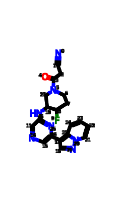 N#CCC(=O)N1CCC(F)C(Nc2cncc(-c3cnn4ccccc34)n2)C1